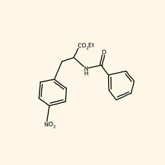 CCOC(=O)C(Cc1ccc([N+](=O)[O-])cc1)NC(=O)c1ccccc1